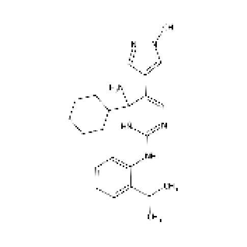 CC(C)c1ccccc1NC1=NC=C(c2cnn(C)c2)C(N)(C2CCCCC2)N1